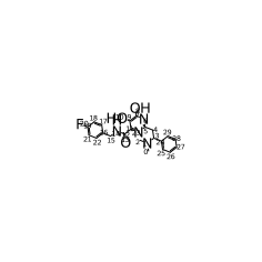 CN(C)C(Cc1nc(O)c(O)c(C(=O)NCc2ccc(F)cc2)n1)c1ccccc1